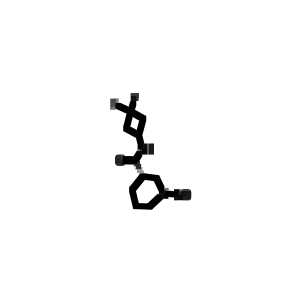 O=NN1CCC[C@H](C(=O)NC2CC(F)(F)C2)C1